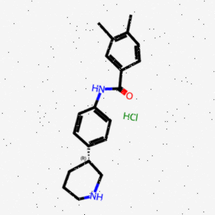 Cc1ccc(C(=O)Nc2ccc([C@H]3CCCNC3)cc2)cc1C.Cl